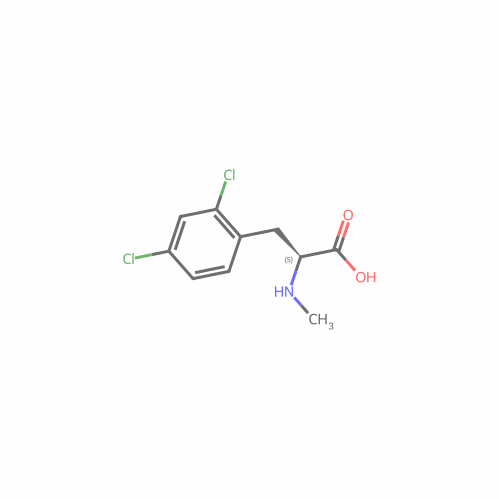 CN[C@@H](Cc1ccc(Cl)cc1Cl)C(=O)O